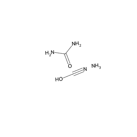 N.N#CO.NC(N)=O